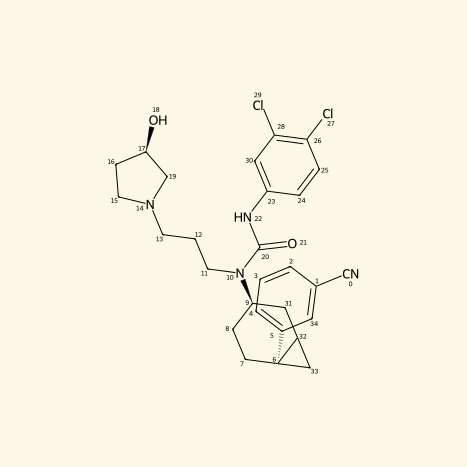 N#Cc1cccc([C@]23CC[C@@H](N(CCCN4CC[C@@H](O)C4)C(=O)Nc4ccc(Cl)c(Cl)c4)CC2C3)c1